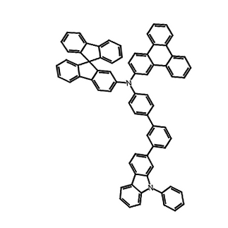 c1ccc(-n2c3ccccc3c3ccc(-c4cccc(-c5ccc(N(c6ccc7c(c6)C6(c8ccccc8-c8ccccc86)c6ccccc6-7)c6ccc7c8ccccc8c8ccccc8c7c6)cc5)c4)cc32)cc1